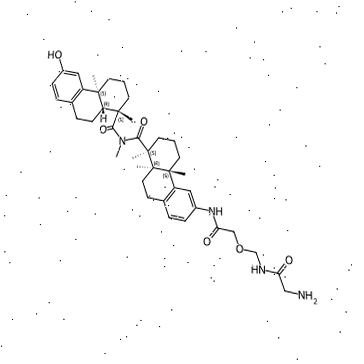 CN(C(=O)[C@@]1(C)CCC[C@]2(C)c3cc(O)ccc3CC[C@@H]12)C(=O)[C@@]1(C)CCC[C@]2(C)c3cc(NC(=O)COCNC(=O)CN)ccc3CC[C@@]12C